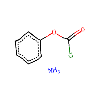 N.O=C(Cl)Oc1ccccc1